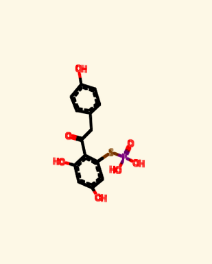 O=C(Cc1ccc(O)cc1)c1c(O)cc(O)cc1SP(=O)(O)O